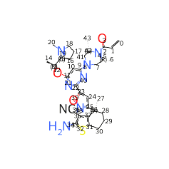 C=CC(=O)N1[C@H](C)CN(c2cc(O[C@@H](C)[C@@H]3CCCN3C)nc(-c3cc([C@@]4(C)CCCc5sc(N)c(C#N)c54)no3)n2)C[C@@H]1C